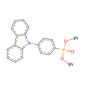 CC(C)OP(=O)(OC(C)C)c1ccc(-n2c3ccccc3c3ccccc32)cc1